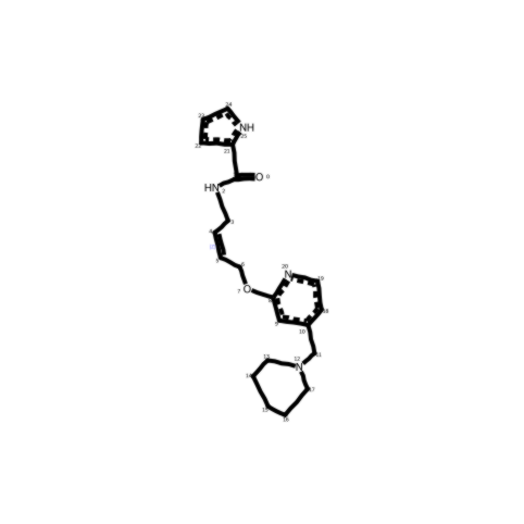 O=C(NC/C=C\COc1cc(CN2CCCCC2)ccn1)c1ccc[nH]1